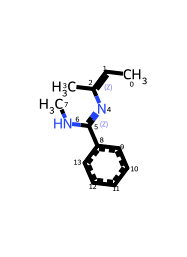 C/C=C(C)\N=C(/NC)c1ccccc1